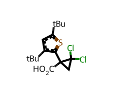 CC(C)(C)c1cc(C(C)(C)C)c(C2(C(=O)O)CC2(Cl)Cl)s1